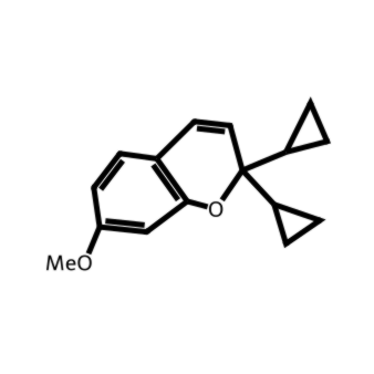 COc1ccc2c(c1)OC(C1CC1)(C1CC1)C=C2